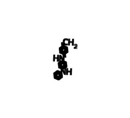 C=Cc1ccc(CNc2ccc(Nc3ccccc3)cc2)cc1